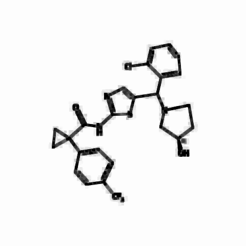 O=C(Nc1ncc(C(c2ccccc2Cl)N2CC[C@@H](O)C2)s1)C1(c2ccc(C(F)(F)F)cc2)CC1